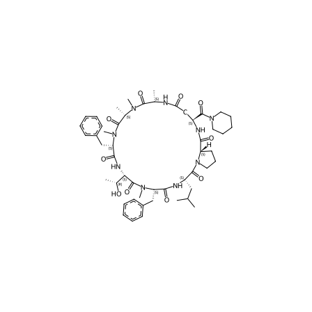 CC(C)C[C@@H]1NC(=O)[C@H](Cc2ccccc2)N(C)C(=O)[C@H]([C@@H](C)O)NC(=O)[C@H](Cc2ccccc2)N(C)C(=O)[C@H](C)N(C)C(=O)[C@H](C)NC(=O)C[C@@H](C(=O)N2CCCCC2)NC(=O)[C@@H]2CCCN2C1=O